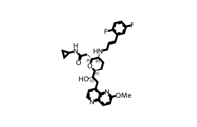 COc1ccc2nccc(C[C@H](O)[C@@H]3CC[C@@H](NCC=Cc4cc(F)ccc4F)[C@@H](CC(=O)NC4CC4)O3)c2n1